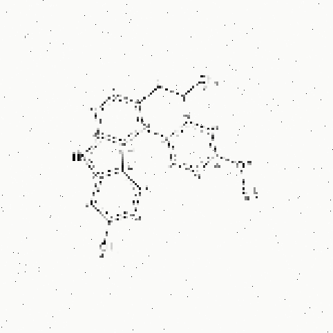 CCCc1ccc2[nH]c3cc(C)ccc3c2c1-c1ccc(OC)cc1